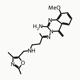 C=C1c2cccc(OC)c2N=C(N)N1/N=C(\C)CCNCc1oc(C)nc1C